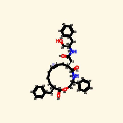 O=C(C[C@H]1C/C=C\CCC[C@H](Cc2ccccc2)C(=O)OC[C@H](c2ccccc2)NC1=O)N[C@@H](CO)Cc1ccccc1